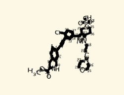 COC(=O)C1Cc2ccc(C#Cc3cc(-c4nn(CCCN5CCOCC5)c5c4CN(S(C)(=O)=O)CC5)ccc3Cl)cc2CN1